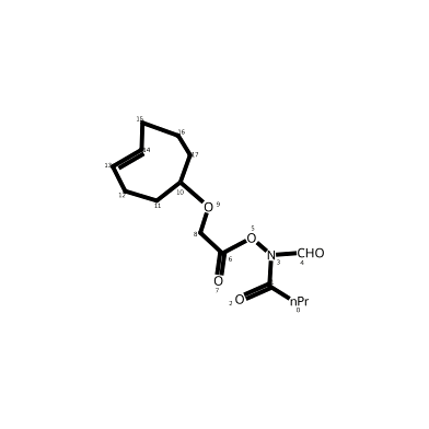 CCCC(=O)N(C=O)OC(=O)COC1CC/C=C/CCC1